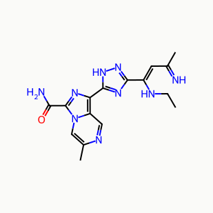 CCN/C(=C\C(C)=N)c1n[nH]c(-c2nc(C(N)=O)n3cc(C)ncc23)n1